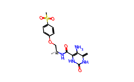 C=C1NC(=O)NC(C(=O)N[C@H](C)COc2ccc(S(C)(=O)=O)cc2)=C1N